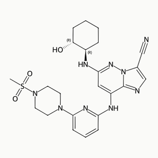 CS(=O)(=O)N1CCN(c2cccc(Nc3cc(N[C@@H]4CCCC[C@H]4O)nn4c(C#N)cnc34)n2)CC1